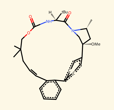 CO[C@@]12C[C@@H](C)N(C1)C(=O)[C@H](C(C)(C)C)NC(=O)OCC(C)(C)CC=Cc1ccccc1-c1ccc2cc1